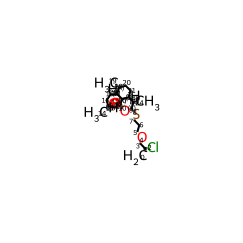 C=C(Cl)COCCCS[C@@H]1O[C@@H]2O[C@]3(C)CC[C@H]4[C@H](C)CC[C@@H]([C@H]1C)[C@@]24OO3